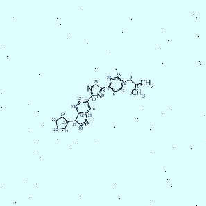 CC(C)Cc1ccc(C2=NC(c3ccc4c(c3)N=CC4C3CCCC3)=NC2)cc1